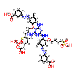 Cc1cc(Nc2nc(NCCCCCC(=O)O)nc(Nc3cc(C)c(N=Nc4cccc(C(=O)O)c4)cc3OCCCCS(=O)(=O)O)n2)c(OCCCCSOOO)cc1N=Nc1cccc(C(=O)O)c1